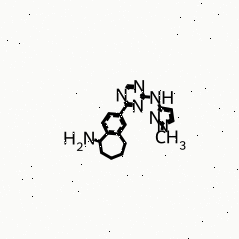 Cn1ccc(Nc2ncnc(-c3ccc4c(c3)CCCCC4N)n2)n1